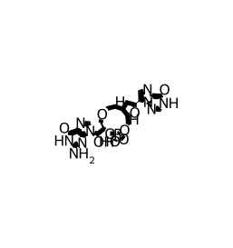 Nc1nc2c(ncn2[C@H](O)[C@H]2COCC[C@H]3C[C@H](c4cnc5c(=O)[nH]cnn45)O[C@@H]3COP(=O)(O)O2)c(=O)[nH]1